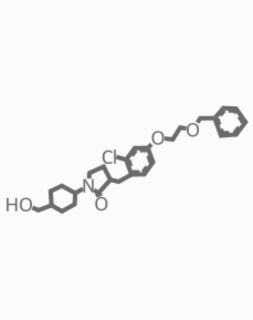 O=C1C(Cc2ccc(OCCOCc3ccccc3)cc2Cl)CCN1C1CCC(CO)CC1